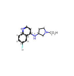 O=C(O)N1CCC(Nc2ccnc3ccc(F)cc23)C1